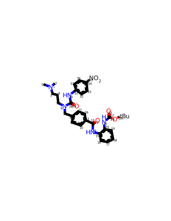 CN(C)CCCN(Cc1ccc(C(=O)Nc2ccccc2NC(=O)OC(C)(C)C)cc1)C(=O)Nc1ccc([N+](=O)[O-])cc1